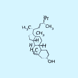 CC(C)[C@@H](C)C=C[C@@H](C)[C@H]1CC[C@H]2[C@@H]3CC=C4CC(O)CC[C@]4(C)[C@H]3CC[C@]12C